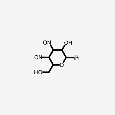 CC(C)C1OC(CO)C(N=O)C(N=O)C1O